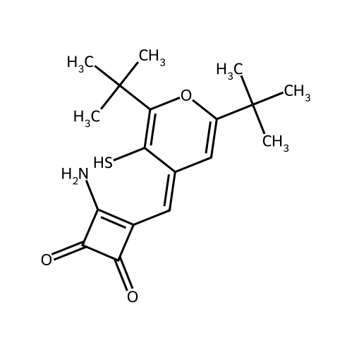 CC(C)(C)C1=CC(=Cc2c(N)c(=O)c2=O)C(S)=C(C(C)(C)C)O1